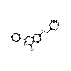 NC/C(=C\F)COc1ccc2c(=O)[nH]c(-c3ccccc3)cc2c1